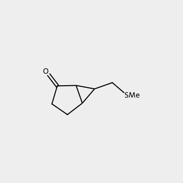 CSCC1C2CCC(=O)C21